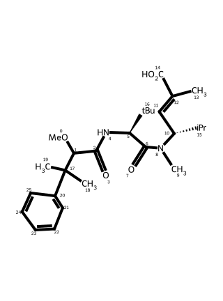 COC(C(=O)N[C@H](C(=O)N(C)[C@H](/C=C(\C)C(=O)O)C(C)C)C(C)(C)C)C(C)(C)c1ccccc1